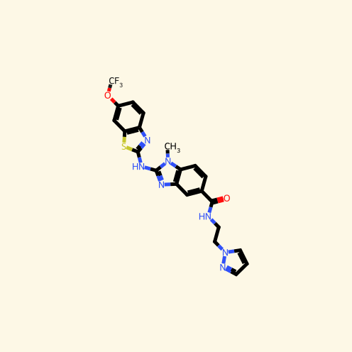 Cn1c(Nc2nc3ccc(OC(F)(F)F)cc3s2)nc2cc(C(=O)NCCn3cccn3)ccc21